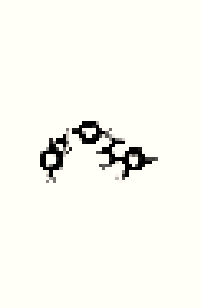 CC(Oc1ccc(Oc2nc3ccc(Cl)cc3o2)cc1)C(=O)C(C#N)c1ccc(Cl)cc1Cl